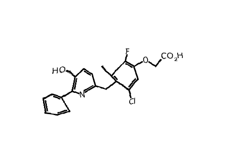 Cc1c(F)c(OCC(=O)O)cc(Cl)c1Cc1ccc(O)c(-c2ccccc2)n1